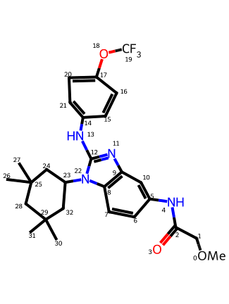 COCC(=O)Nc1ccc2c(c1)nc(Nc1ccc(OC(F)(F)F)cc1)n2C1CC(C)(C)CC(C)(C)C1